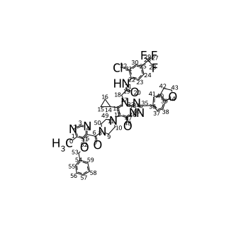 Cc1ncnc(C(=O)N2CCN(c3c(C4CC4)n(CC(=O)Nc4ccc(C(F)(F)F)cc4Cl)c4nc(-c5ccc6c(c5)CCO6)nn4c3=O)CC2)c1OCc1ccccc1